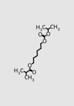 CC(C)OC(=O)OCCCCCCOC(=O)C(C)C